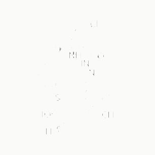 Cc1ccc(C=NNC(=O)c2cc(Cl)ccc2NC(=O)c2cccc(CSCC(O)CO)c2)cc1